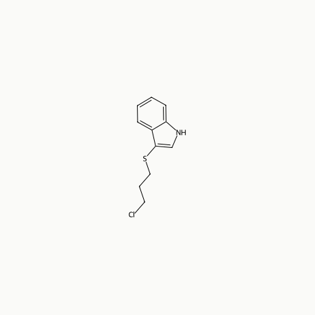 ClCCCSc1c[nH]c2ccccc12